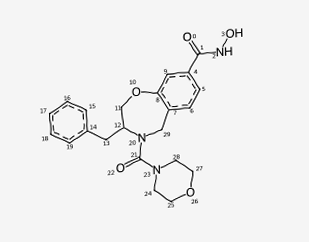 O=C(NO)c1ccc2c(c1)OCC(Cc1ccccc1)N(C(=O)N1CCOCC1)C2